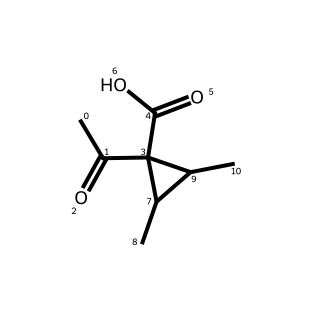 CC(=O)C1(C(=O)O)C(C)C1C